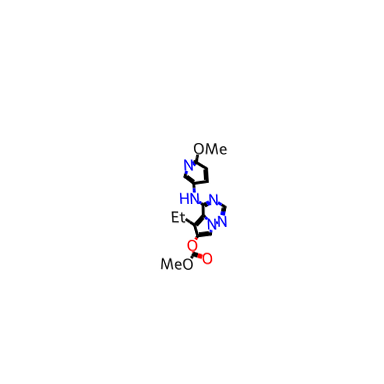 CCc1c(OC(=O)OC)cn2ncnc(Nc3ccc(OC)nc3)c12